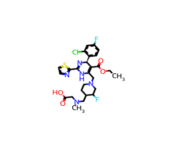 CCOC(=O)C1=C(CN2CCC(CN(C)CC(=O)O)C(F)C2)NC(c2nccs2)=N[C@H]1c1ccc(F)cc1Cl